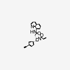 C#Cc1ccc([C@H]2CN(C(=O)C=C)[C@H]2CC(=O)Nc2cccc3cccnc23)cc1